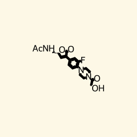 CC(=O)NC[C@H]1C=C(c2ccc(N3CCN(C(=O)CO)CC3)c(F)c2)C(=O)O1